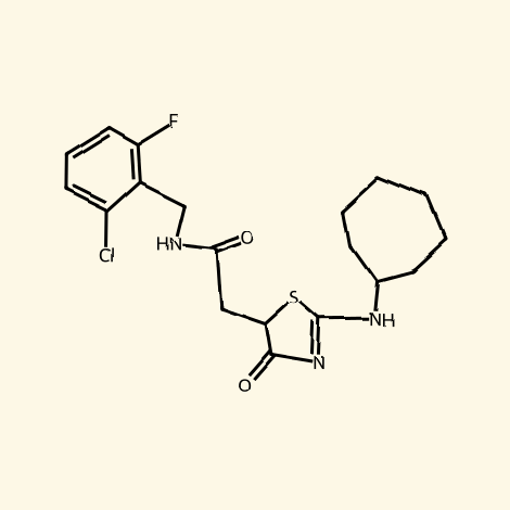 O=C(CC1SC(NC2CCCCCC2)=NC1=O)NCc1c(F)cccc1Cl